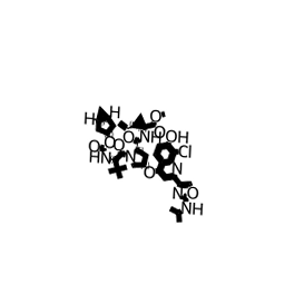 C=C[C@@H]1C[C@]1(NC(=O)[C@@H]1C[C@@H](Oc2cc(-c3coc(NC(C)C)n3)nc3c(Cl)c(O)ccc23)CN1C(=O)[C@@H](NC(=O)O[C@@H]1C[C@@H]2C[C@@H]2C1)C(C)(C)C)C(=O)OC